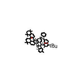 Cc1ccc2sc3c(c2c1)N(c1ccc(C(C)(C)C)cc1C)C1=CC(C)(N(c2ccccc2)c2ccccc2)CC2=C1B3C1=C3C4C(C=C1)C(C)(C)CCC4(C)c1c(ccc4c1C(C)(C)CCC4(C)C)N23